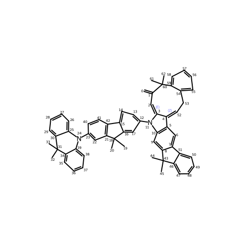 C=C1/C=c2\c(c3cc4c(cc3n2-c2ccc3c(c2)C(C)(C)c2cc(N5c6ccccc6C(C)(C)c6ccccc65)ccc2-3)C(C)(C)c2ccccc2-4)=C/Cc2ccccc2C1(C)C